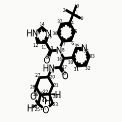 CC(C)(C)c1ccc(N(C(=O)c2c[nH]cn2)C(C(=O)NC2C[C@@H]3CO[C@@H]4OC2C[C@H]34)c2cccnc2)cc1